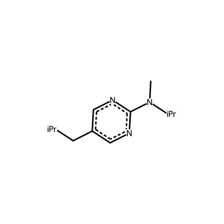 CC(C)Cc1cnc(N(C)C(C)C)nc1